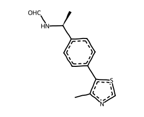 Cc1ncsc1-c1ccc([C@H](C)NC=O)cc1